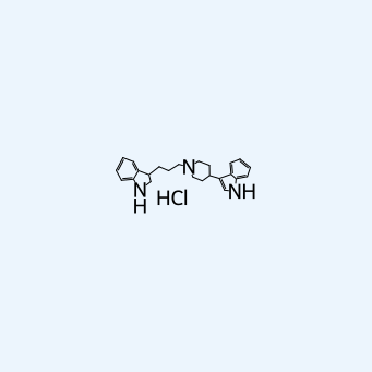 Cl.c1ccc2c(c1)NCC2CCCN1CCC(c2c[nH]c3ccccc23)CC1